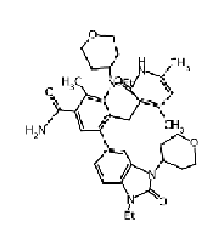 CCN(c1c(C)c(C(N)=O)cc(-c2ccc3c(c2)n(C2CCOCC2)c(=O)n3CC)c1Cc1c(C)cc(C)[nH]c1=O)C1CCOCC1